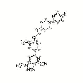 Cn1nnc2c(C#N)nc(-c3ccc(OCCC4CCN(c5ccc(F)cn5)CC4)c(C(F)(F)F)c3)cc21